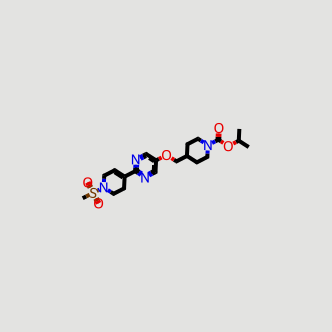 CC(C)OC(=O)N1CCC(COc2cnc(C3=CCN(S(C)(=O)=O)CC3)nc2)CC1